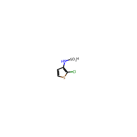 O=S(=O)(O)Nc1ccsc1Cl